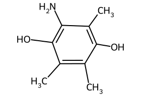 Cc1c(C)c(O)c(N)c(C)c1O